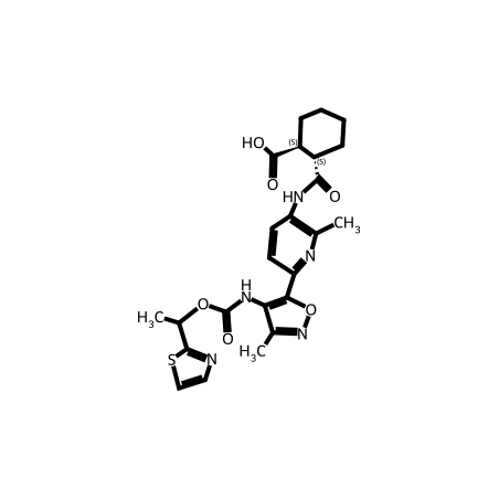 Cc1nc(-c2onc(C)c2NC(=O)OC(C)c2nccs2)ccc1NC(=O)[C@H]1CCCC[C@@H]1C(=O)O